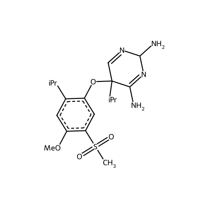 COc1cc(C(C)C)c(OC2(C(C)C)C=NC(N)N=C2N)cc1S(C)(=O)=O